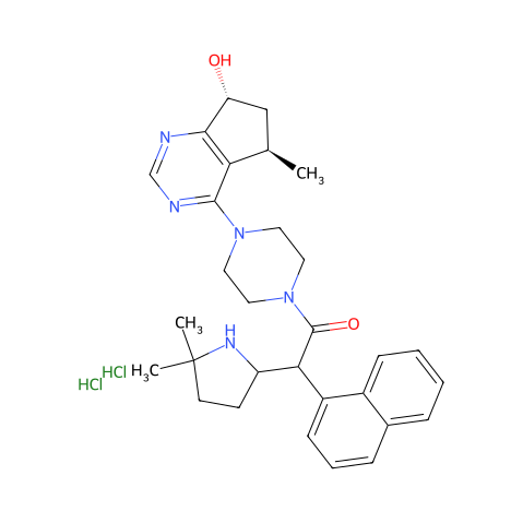 C[C@@H]1C[C@@H](O)c2ncnc(N3CCN(C(=O)C(c4cccc5ccccc45)C4CCC(C)(C)N4)CC3)c21.Cl.Cl